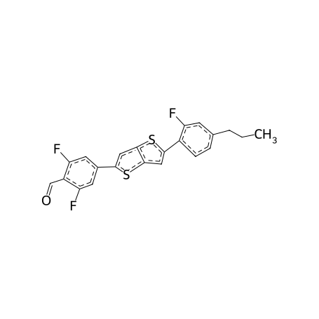 CCCc1ccc(-c2cc3sc(-c4cc(F)c(C=O)c(F)c4)cc3s2)c(F)c1